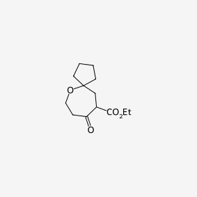 CCOC(=O)C1CC2(CCCC2)OCCC1=O